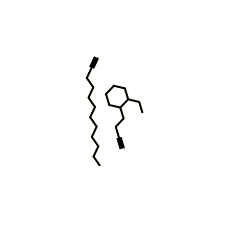 [C]#CCCC1CCCCC1CC.[C]#CCCCCCCCCCC